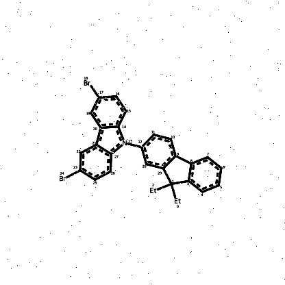 CCC1(CC)c2ccccc2-c2ccc(-n3c4ccc(Br)cc4c4cc(Br)ccc43)cc21